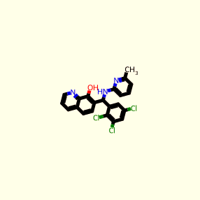 Cc1cccc(NC(c2cc(Cl)cc(Cl)c2Cl)c2ccc3cccnc3c2O)n1